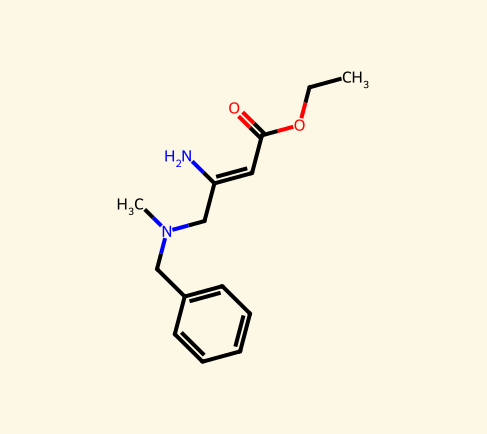 CCOC(=O)C=C(N)CN(C)Cc1ccccc1